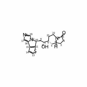 O=C1CC[C@@H]2C[C@H]([C@H](O)C[C@H]3c4sccc4-c4cncn43)CCN12